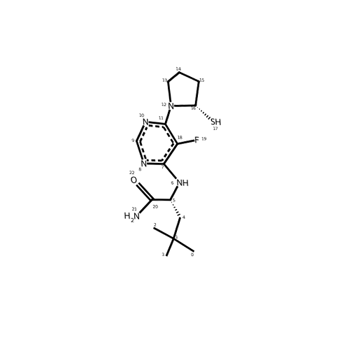 CC(C)(C)C[C@@H](Nc1ncnc(N2CCC[C@@H]2S)c1F)C(N)=O